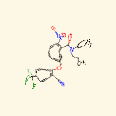 C=CCN(C)C(=O)c1cc(Oc2ccc(C(F)(F)F)cc2C#N)ccc1[N+](=O)[O-]